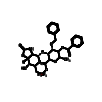 CCC1O[C@@H](O[C@H]2C(C(=O)OC)O[C@H](C)C(OC(=O)c3ccccc3)[C@H]2OCc2ccccc2)C2NC(=O)O[C@H]2[C@@H]1O